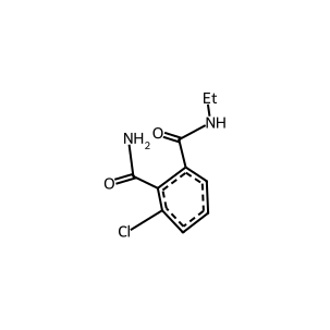 CCNC(=O)c1cccc(Cl)c1C(N)=O